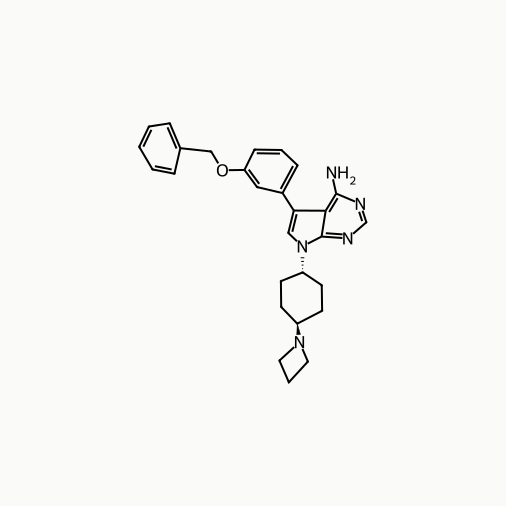 Nc1ncnc2c1c(-c1cccc(OCc3ccccc3)c1)cn2[C@H]1CC[C@H](N2CCC2)CC1